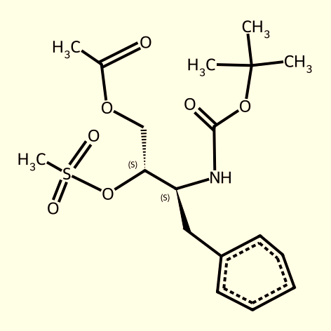 CC(=O)OC[C@@H](OS(C)(=O)=O)[C@H](Cc1ccccc1)NC(=O)OC(C)(C)C